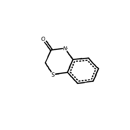 O=C1CSc2ccccc2[N]1